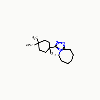 CCCCCC1(C)CCC(C)(c2nnc3n2CCCCCC3)CC1